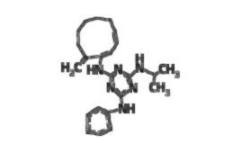 C=C1CCCCC/C=C\C=C/1Nc1nc(Nc2ccccc2)nc(NC(C)C)n1